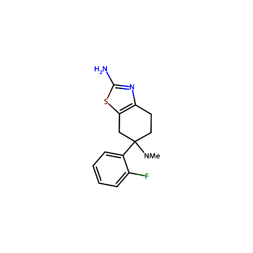 CNC1(c2ccccc2F)CCc2nc(N)sc2C1